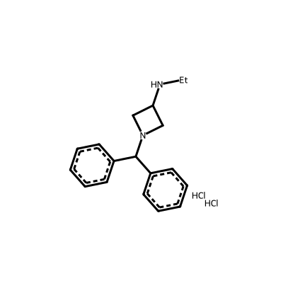 CCNC1CN(C(c2ccccc2)c2ccccc2)C1.Cl.Cl